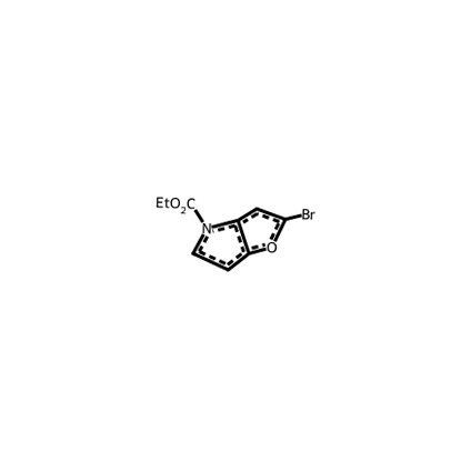 CCOC(=O)n1ccc2oc(Br)cc21